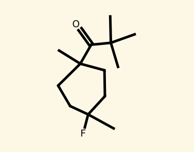 CC1(F)CCC(C)(C(=O)C(C)(C)C)CC1